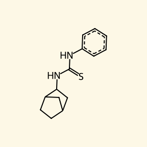 S=C(Nc1ccccc1)NC1CC2CCC1C2